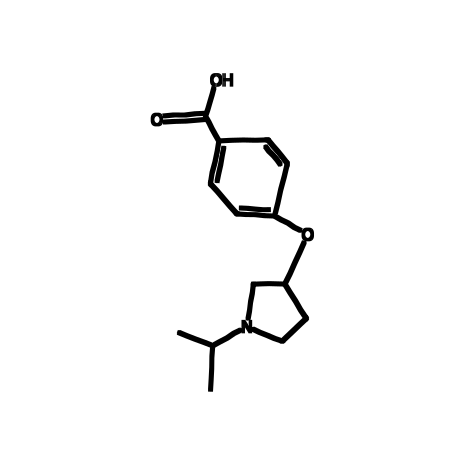 CC(C)N1CCC(Oc2ccc(C(=O)O)cc2)C1